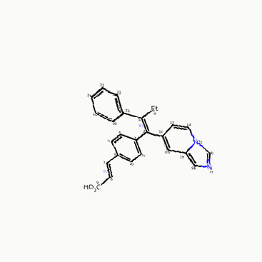 CC/C(=C(/c1ccc(/C=C/C(=O)O)cc1)c1ccn2cncc2c1)c1ccccc1